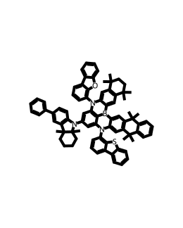 CC1(C)CCC(C)(C)c2cc3c(cc21)B1c2cc4c(cc2N(c2cccc5c2sc2ccccc25)c2cc(N5c6ccc(-c7ccccc7)cc6C6(C)CCCCC56C)cc(c21)N3c1cccc2c1oc1ccccc12)C(C)(C)c1ccccc1C4(C)C